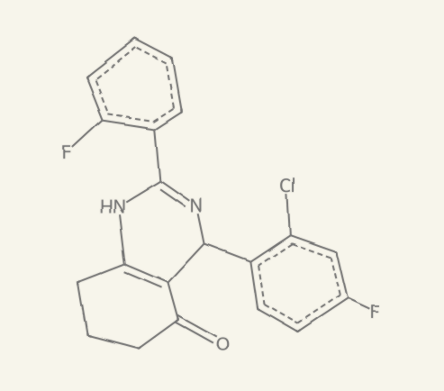 O=C1CCCC2=C1C(c1ccc(F)cc1Cl)N=C(c1ccccc1F)N2